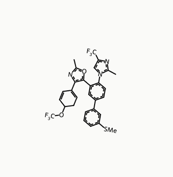 CSc1cccc(-c2ccc(-n3cc(C(F)(F)F)nc3C)c(-c3oc(C)nc3C3=CCC(OC(F)(F)F)C=C3)c2)c1